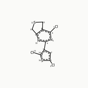 Clc1cc(-c2nc(Cl)c3c(n2)CSC3)c(Cl)s1